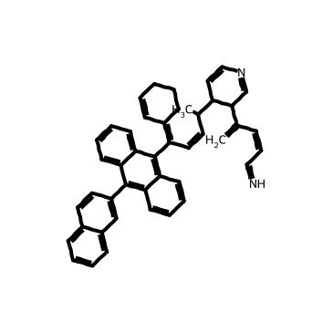 C=C(/C=C\C=N)C1C=NC=CC1C(C)/C=C\C(=C1\C=CCCC1)c1c2ccccc2c(-c2ccc3ccccc3c2)c2ccccc12